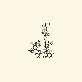 COc1cc(OC)n2nc(S(=O)(=O)Nc3c(Cl)ccc(C)c3Cl)nc2n1.C[S+](C)C.Cc1nn(-c2cc(NS(C)(=O)=O)c(Cl)cc2Cl)c(=O)n1C(F)F.O=C(O)CNCP(=O)([O-])O